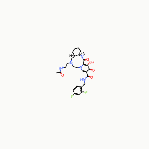 CC(=O)NCCN1CCn2cc(C(=O)NCc3ccc(F)cc3F)c(=O)c(O)c2C(=O)N(C)[C@H]2CCCC[C@H]2C1